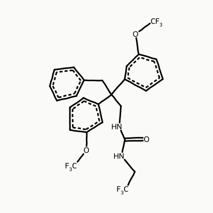 O=C(NCC(F)(F)F)NCC(Cc1ccccc1)(c1cccc(OC(F)(F)F)c1)c1cccc(OC(F)(F)F)c1